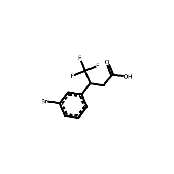 O=C(O)CC(c1cccc(Br)c1)C(F)(F)F